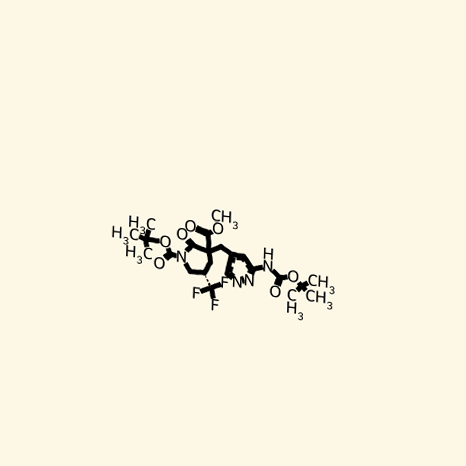 COC(=O)C1(Cc2cnnc(NC(=O)OC(C)(C)C)c2)C[C@H](C(F)(F)F)CN(C(=O)OC(C)(C)C)C1=O